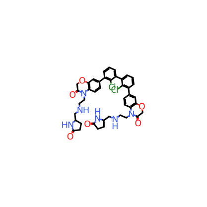 O=C1CCC(CNCCN2C(=O)COc3cc(-c4cccc(-c5cccc(-c6ccc7c(c6)OCC(=O)N7CCNCC6CCC(=O)N6)c5Cl)c4Cl)ccc32)N1